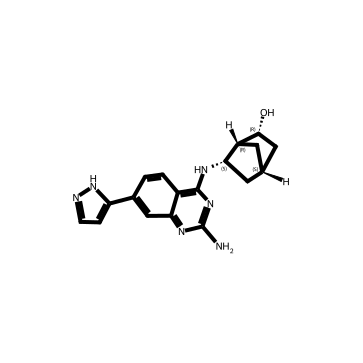 Nc1nc(N[C@H]2C[C@@H]3C[C@H]2[C@H](O)C3)c2ccc(-c3ccn[nH]3)cc2n1